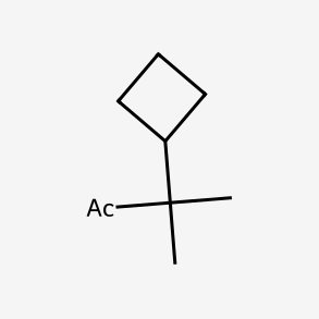 CC(=O)C(C)(C)C1CCC1